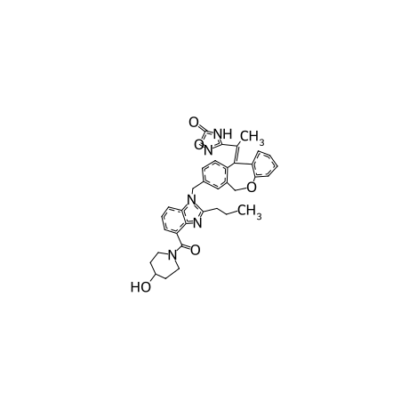 CCCc1nc2c(C(=O)N3CCC(O)CC3)cccc2n1Cc1ccc2c(c1)COc1ccccc1/C2=C(\C)c1noc(=O)[nH]1